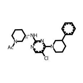 CC(=O)N1CCC[C@H](Nc2ncc(Cl)c(N3CCCC(c4ccccc4)C3)n2)C1